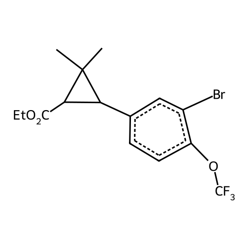 CCOC(=O)C1C(c2ccc(OC(F)(F)F)c(Br)c2)C1(C)C